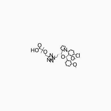 COc1cccc([C@H]2O[C@H](CCn3nnc(COC(C)(C)C(=O)O)n3)c3cccn3-c3ccc(Cl)cc32)c1OC